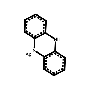 [Ag].c1ccc2c(c1)Nc1ccccc1S2